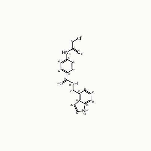 O=C(CCl)Nc1ccc(C(=O)NCc2cccc3[nH]ccc23)cc1